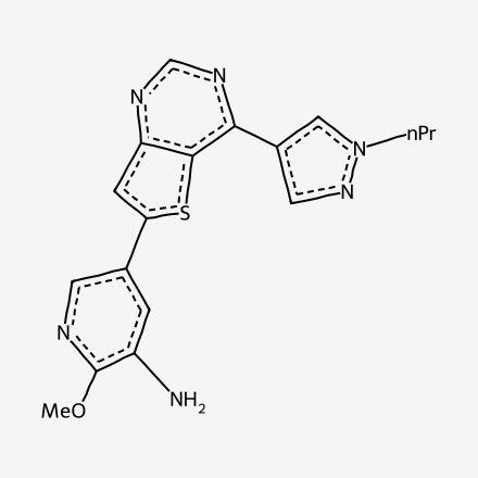 CCCn1cc(-c2ncnc3cc(-c4cnc(OC)c(N)c4)sc23)cn1